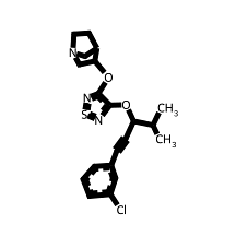 CC(C)C(C#Cc1cccc(Cl)c1)Oc1nsnc1OC1CN2CCC1C2